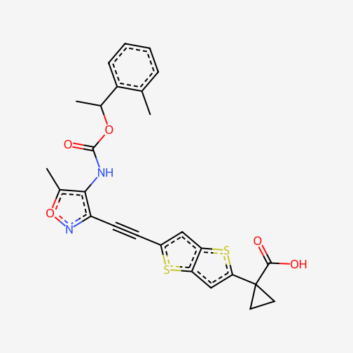 Cc1ccccc1C(C)OC(=O)Nc1c(C#Cc2cc3sc(C4(C(=O)O)CC4)cc3s2)noc1C